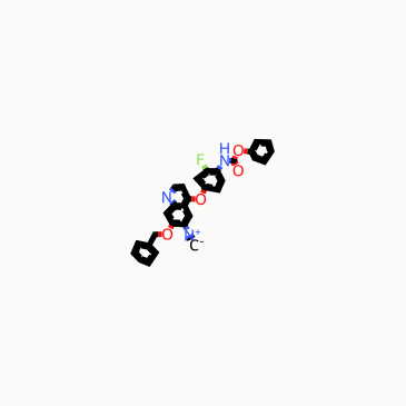 [C-]#[N+]c1cc2c(Oc3ccc(NC(=O)Oc4ccccc4)c(F)c3)ccnc2cc1OCc1ccccc1